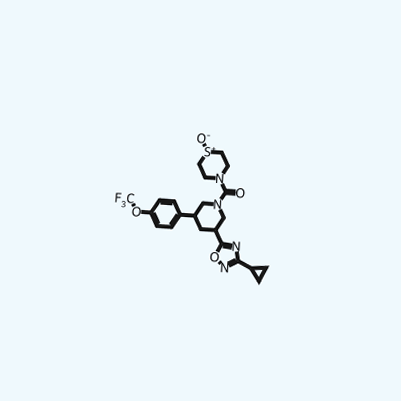 O=C(N1CC[S+]([O-])CC1)N1CC(c2ccc(OC(F)(F)F)cc2)CC(c2nc(C3CC3)no2)C1